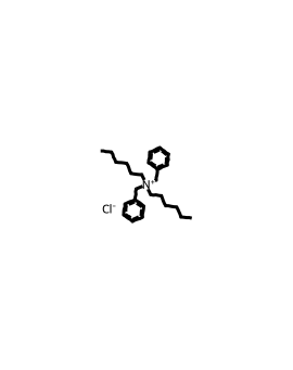 CCCCCC[N+](CCCCCC)(Cc1ccccc1)Cc1ccccc1.[Cl-]